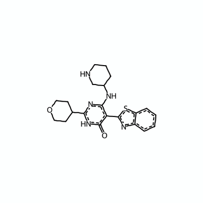 O=c1[nH]c(C2CCOCC2)nc(NC2CCCNC2)c1-c1nc2ccccc2s1